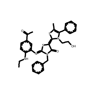 CCNc1ccc(C(C)=O)cc1N=C1SC(=C2SC(C)=C(c3ccccc3)N2CCO)C(=O)N1Cc1ccccc1